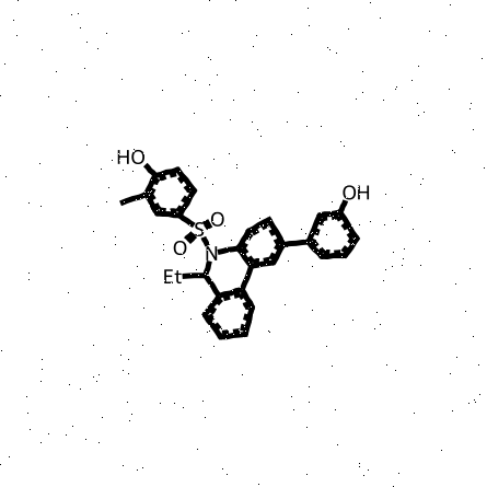 CCC1c2ccccc2-c2cc(-c3cccc(O)c3)ccc2N1S(=O)(=O)c1ccc(O)c(C)c1